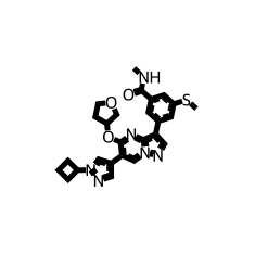 CNC(=O)c1cc(SC)cc(-c2cnn3cc(-c4cnn(C5CCC5)c4)c(OC4CCOC4)nc23)c1